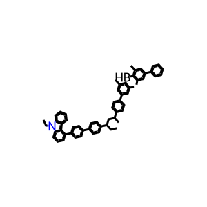 CCC(CC(C)c1ccc(-c2cc(C)c(Bc3c(C)cc(-c4ccccc4)cc3C)c(C)c2)cc1)c1ccc(-c2ccc(-c3cccc4c3c3ccccc3n4CC)cc2)cc1